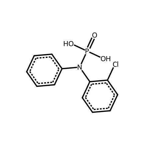 O=P(O)(O)N(c1ccccc1)c1ccccc1Cl